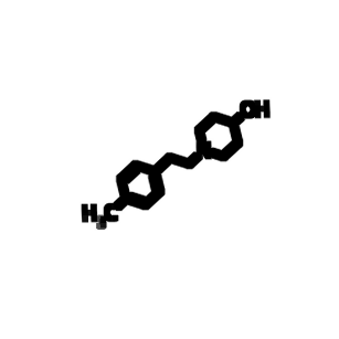 Cc1ccc(CCN2CCC(O)CC2)cc1